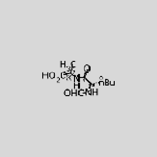 CCCC[C@H](NC=O)C(=O)N[C@H](C)C(=O)O